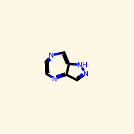 C1=CN=c2cn[nH]c2=CN=1